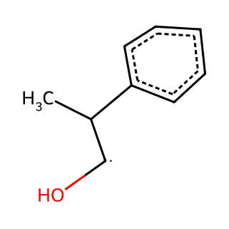 CC([CH]O)c1ccccc1